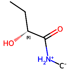 [CH2-][NH2+]C(=O)[C@H](O)CC